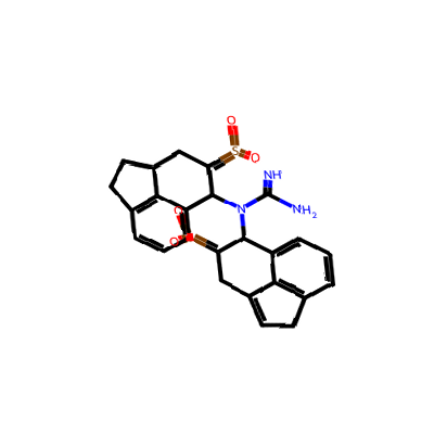 N=C(N)N(C1C(=S(=O)=O)CC2=CCc3cccc1c32)C1C(=S(=O)=O)CC2CCc3cccc1c32